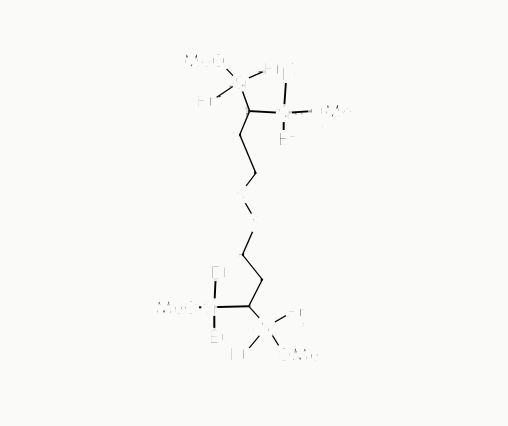 CC[Si](CC)(OC)C(CCSSCCC([Si](CC)(CC)OC)[Si](CC)(CC)OC)[Si](CC)(CC)OC